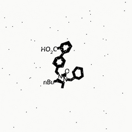 CCCCc1c(C)n(CC2CCCCC2)c(=O)n1Cc1ccc(-c2ccccc2C(=O)O)cc1